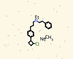 CC#N.CCN(CCCc1ccc(C2CCC2Cl)cc1)CCc1ccccc1